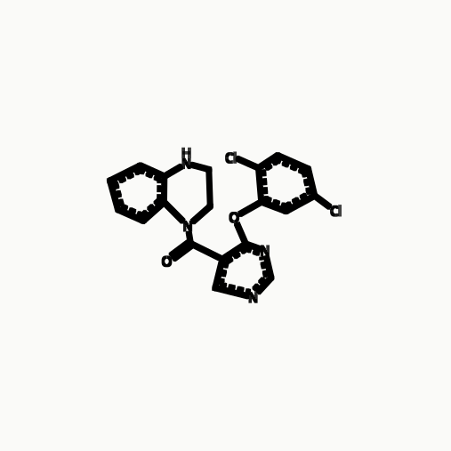 O=C(c1cncnc1Oc1cc(Cl)ccc1Cl)N1CCNc2ccccc21